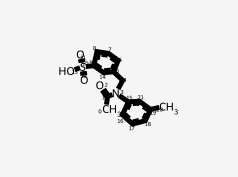 CC(=O)N(Cc1cccc(S(=O)(=O)O)c1)c1cccc(C)c1